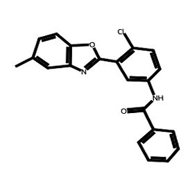 Cc1ccc2oc(-c3cc(NC(=O)c4ccccc4)ccc3Cl)nc2c1